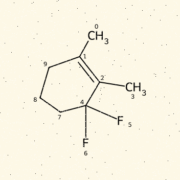 CC1=C(C)C(F)(F)CCC1